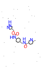 Cc1ccc(C(=O)NCc2ccc(NC(=O)OCc3cn[nH]c3)cc2)cn1